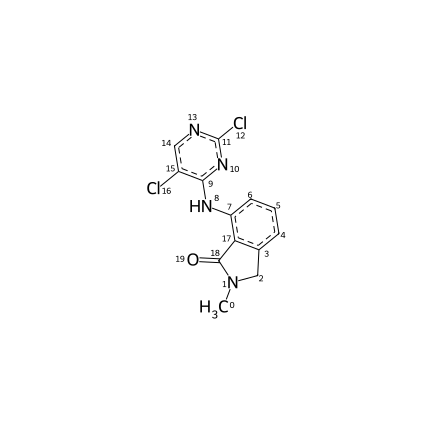 CN1Cc2cccc(Nc3nc(Cl)ncc3Cl)c2C1=O